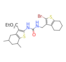 CCOC(=O)c1c(NC(=O)NCc2c(Br)sc3c2CCCC3)sc2c1CC(C)CC2C